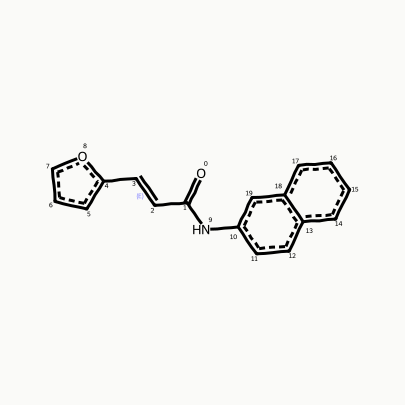 O=C(/C=C/c1ccco1)Nc1ccc2ccccc2c1